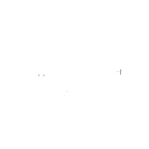 CCOCC.OCC1COOC1